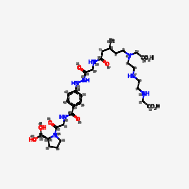 CCC(CCN(CCNCCNCC(=O)O)CC(=O)O)CC(=O)NCC(=O)NNc1ccc(C(=O)NCC(=O)N2CCC[C@H]2B(O)O)cc1